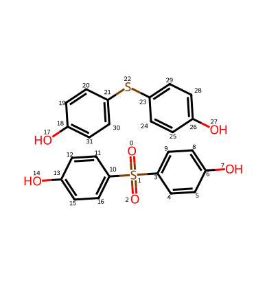 O=S(=O)(c1ccc(O)cc1)c1ccc(O)cc1.Oc1ccc(Sc2ccc(O)cc2)cc1